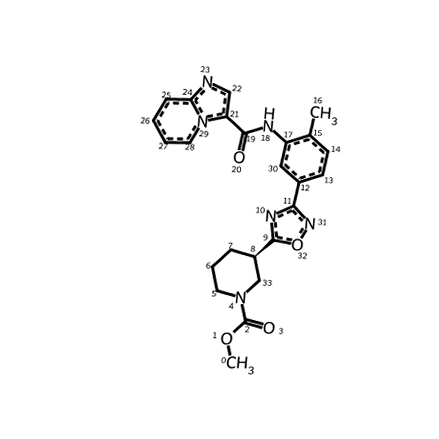 COC(=O)N1CCC[C@@H](c2nc(-c3ccc(C)c(NC(=O)c4cnc5ccccn45)c3)no2)C1